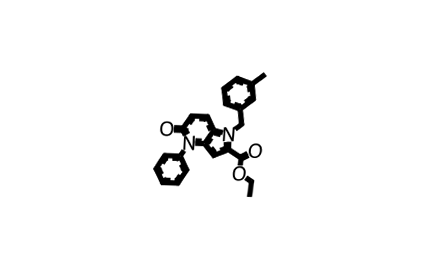 CCOC(=O)c1cc2c(ccc(=O)n2-c2ccccc2)n1Cc1cccc(C)c1